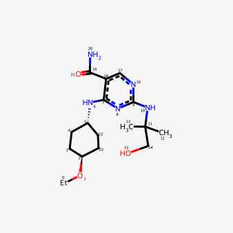 CCO[C@H]1CC[C@H](Nc2nc(NC(C)(C)CO)ncc2C(N)=O)CC1